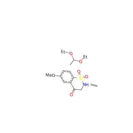 C=C.CCOC(C)OCC.COc1ccc2c(c1)C(=O)CNS2(=O)=O